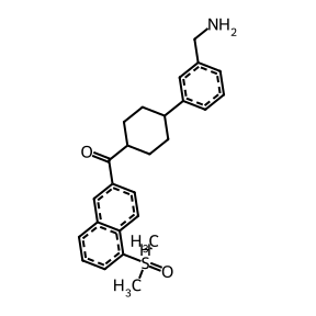 C[SH](C)(=O)c1cccc2cc(C(=O)C3CCC(c4cccc(CN)c4)CC3)ccc12